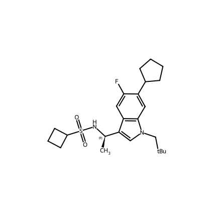 C[C@@H](NS(=O)(=O)C1CCC1)c1cn(CC(C)(C)C)c2cc(C3CCCC3)c(F)cc12